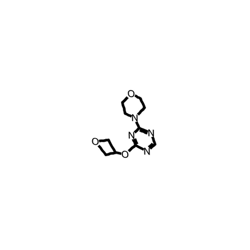 c1nc(OC2COC2)nc(N2CCOCC2)n1